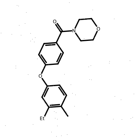 CCc1cc(Oc2ccc(C(=O)N3CCOCC3)cc2)ccc1C